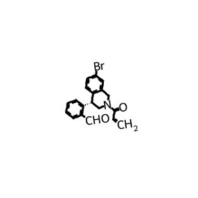 C=CC(=O)N1Cc2cc(Br)ccc2[C@@H](c2ccccc2C=O)C1